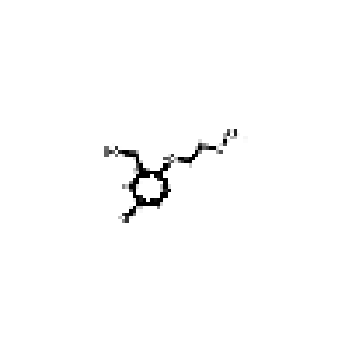 COCCOc1ccc(Cl)cc1CO